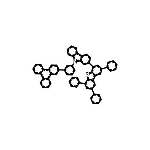 c1ccc(-c2cc(-c3ccccc3)c3sc4c(-c5ccc6c7ccccc7n(-c7cccc(-c8ccc9c%10ccccc%10c%10ccccc%10c9c8)c7)c6c5)cc(-c5ccccc5)cc4c3c2)cc1